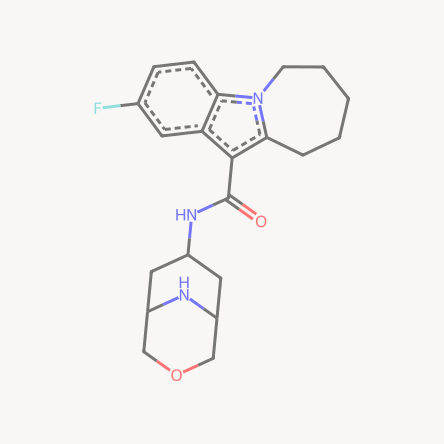 O=C(NC1CC2COCC(C1)N2)c1c2n(c3ccc(F)cc13)CCCCC2